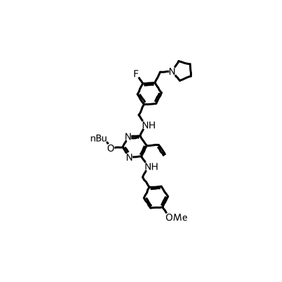 C=Cc1c(NCc2ccc(OC)cc2)nc(OCCCC)nc1NCc1ccc(CN2CCCC2)c(F)c1